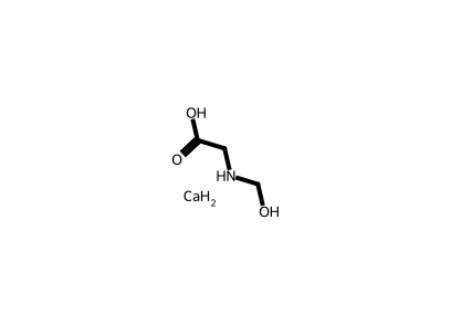 O=C(O)CNCO.[CaH2]